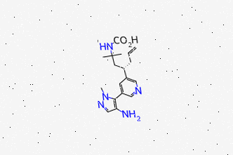 C=CC[C@@H](CC(C)(C)NC(=O)O)c1cncc(-c2c(N)cnn2C)c1